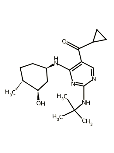 C[C@@H]1CC[C@@H](Nc2nc(NC(C)(C)C)ncc2C(=O)C2CC2)C[C@H]1O